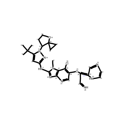 Cn1c(Nc2cc(C(C)(C)C)n(C3CCOC34CC4)n2)nc2ncc(O/C(C=N)=C3\C=NC=CN3)c(Cl)c21